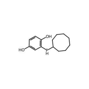 Oc1ccc(O)c(PC2CCCCCCC2)c1